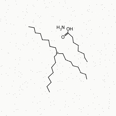 CCCCCCCC(=O)O.CCCCCCCCP(CCCCCCCC)CCCCCCCC.N